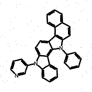 c1ccc(-n2c3ccc4ccccc4c3c3ccc4c(c5ccccc5n4-c4cccnc4)c32)cc1